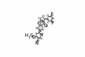 COc1cc(N2CCC3(CC2)OC2CCC(c4cc(F)cc(F)c4)N2C3=O)ncc1C#N